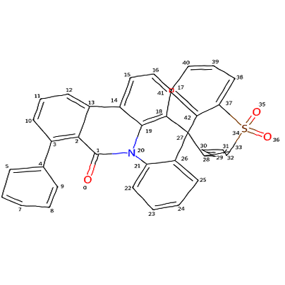 O=c1c2c(-c3ccccc3)cccc2c2cccc3c2n1-c1ccccc1C31c2ccccc2S(=O)(=O)c2ccccc21